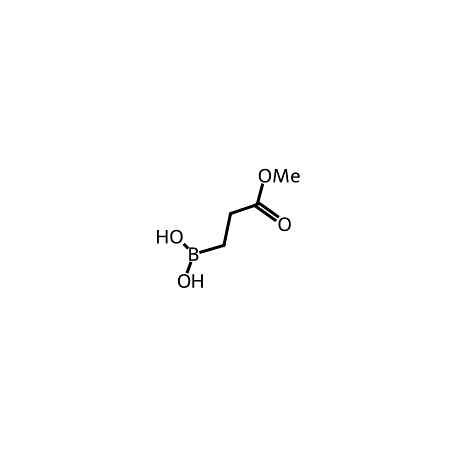 COC(=O)CCB(O)O